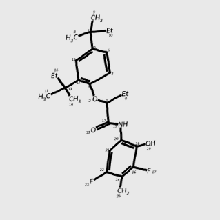 CCC(Oc1ccc(C(C)(C)CC)cc1C(C)(C)CC)C(=O)Nc1cc(F)c(C)c(F)c1O